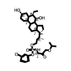 CC[C@@H]1C2C[C@H](O)CC[C@]2(C)C2CC[C@@]3(C)C(CC[C@@H]3[C@H](C)CCOP(=O)(N[C@@H](C)C(=O)COC(C)C)Oc3cccc(Cl)c3)C2[C@@H]1O